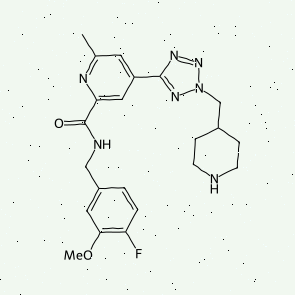 COc1cc(CNC(=O)c2cc(-c3nnn(CC4CCNCC4)n3)cc(C)n2)ccc1F